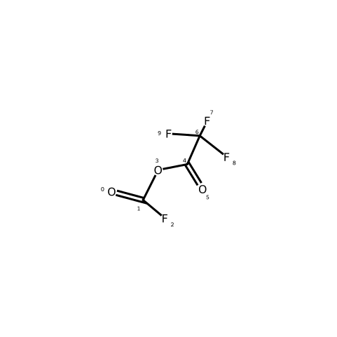 O=C(F)OC(=O)C(F)(F)F